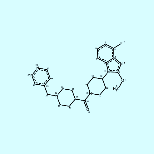 COc1nc2c(F)cccc2n1C1CCN(C(=O)C2CCN(Cc3ccnnc3)CC2)CC1